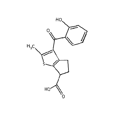 Cc1sc2c(c1C(=O)c1ccccc1O)CCC2C(=O)O